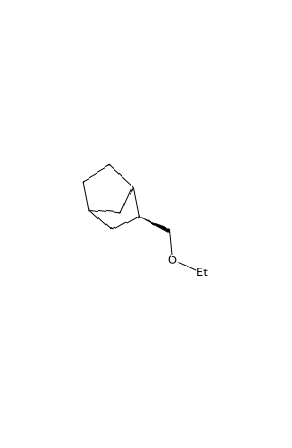 CCOC[C@H]1CC2CCC1C2